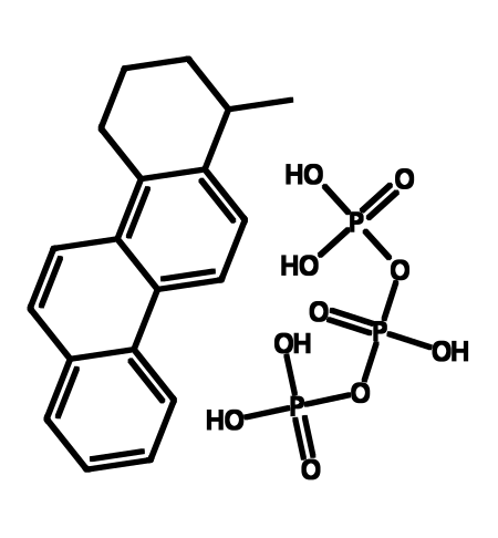 CC1CCCc2c1ccc1c2ccc2ccccc21.O=P(O)(O)OP(=O)(O)OP(=O)(O)O